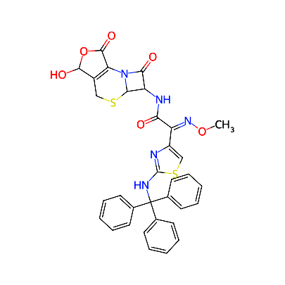 CON=C(C(=O)NC1C(=O)N2C3=C(CSC12)C(O)OC3=O)c1csc(NC(c2ccccc2)(c2ccccc2)c2ccccc2)n1